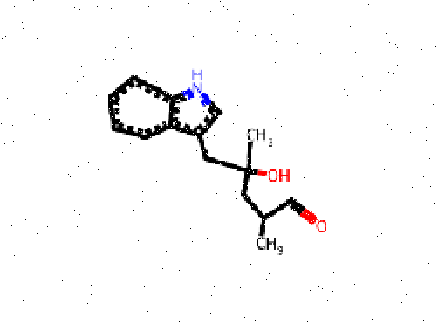 CC(C=O)CC(C)(O)Cc1c[nH]c2ccccc12